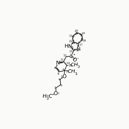 COCCCOC1(C)C=CN=C(C[S+]([O-])c2nc3ccccc3[nH]2)C1C